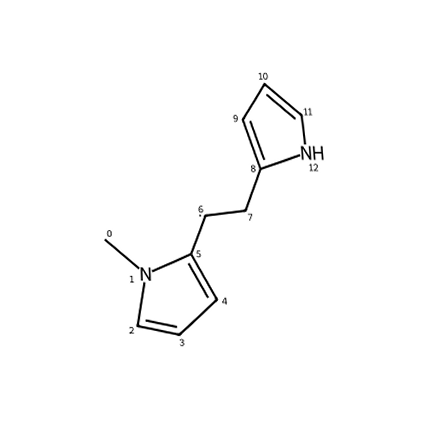 Cn1cccc1[CH]Cc1ccc[nH]1